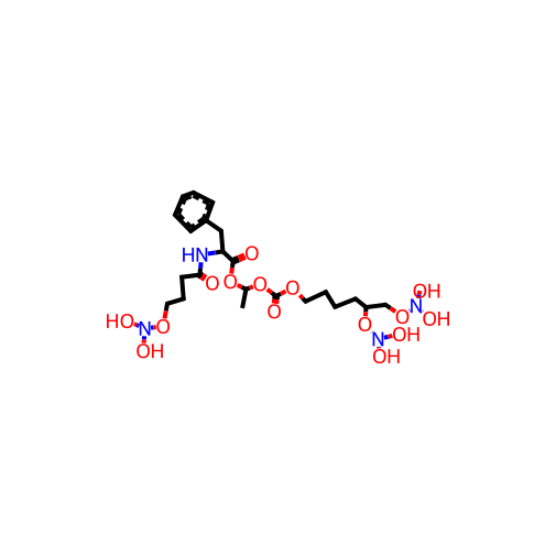 CC(OC(=O)OCCCCC(CON(O)O)ON(O)O)OC(=O)C(Cc1ccccc1)NC(=O)CCCON(O)O